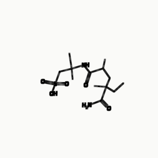 CCC(C)(CC(C)C(=O)NC(C)(C)CS(=O)(=O)O)C(N)=O